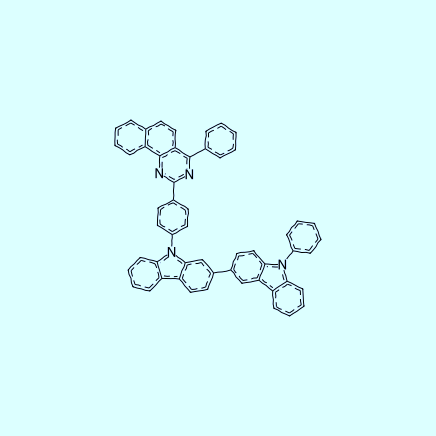 c1ccc(-c2nc(-c3ccc(-n4c5ccccc5c5ccc(-c6ccc7c(c6)c6ccccc6n7-c6ccccc6)cc54)cc3)nc3c2ccc2ccccc23)cc1